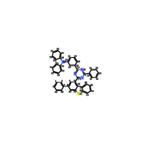 c1ccc(-c2cc(-c3nc(-c4ccccc4)nc(-c4cccc(-n5c6ccccc6c6ccccc65)c4)n3)c3c(c2)sc2ccccc23)cc1